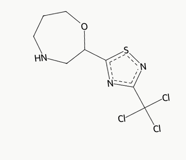 ClC(Cl)(Cl)c1nsc(C2CNCCCO2)n1